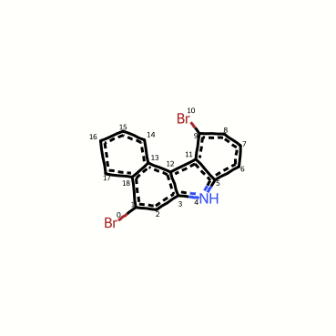 Brc1cc2[nH]c3cccc(Br)c3c2c2ccccc12